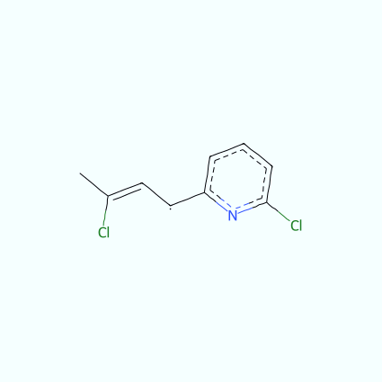 CC(Cl)=C[CH]c1cccc(Cl)n1